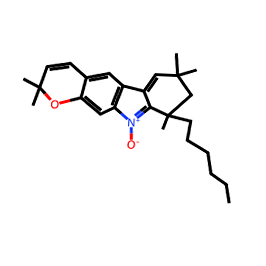 CCCCCCC1(C)CC(C)(C)C=C2C1=[N+]([O-])c1cc3c(cc12)C=CC(C)(C)O3